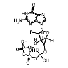 Nc1nc2c(ncn2[C@@H]2O[C@@H]3C(OP(=O)(O)OP(=O)(O)OP(=O)(O)O)C3(O)C2F)c(=O)[nH]1